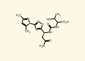 Cc1cc(C)n(-c2noc([C@H](CC(N)=O)NC(=O)NC(C(=O)O)C(C)O)n2)n1